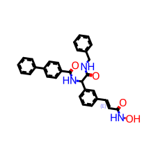 O=C(/C=C/c1cccc(C(NC(=O)c2ccc(-c3ccccc3)cc2)C(=O)NCc2ccccc2)c1)NO